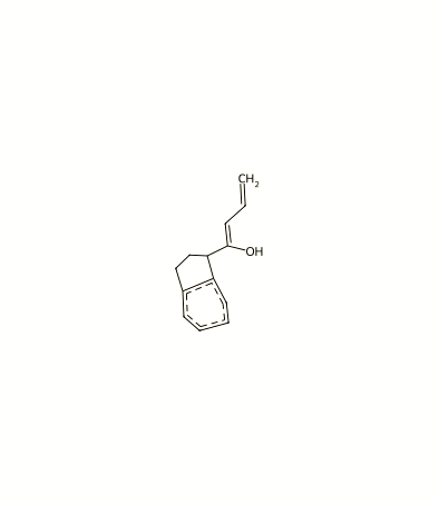 C=CC=C(O)C1CCc2ccccc21